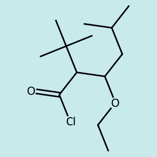 CCOC(CC(C)C)C(C(=O)Cl)C(C)(C)C